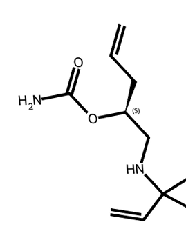 C=CC[C@@H](CNC1(C=C)CC1)OC(N)=O